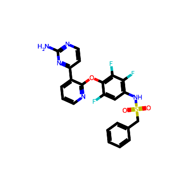 Nc1nccc(-c2cccnc2Oc2c(F)cc(NS(=O)(=O)Cc3ccccc3)c(F)c2F)n1